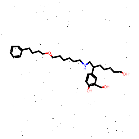 OCCCCCC(CNCCCCCCOCCCCc1ccccc1)c1ccc(O)c(CO)c1